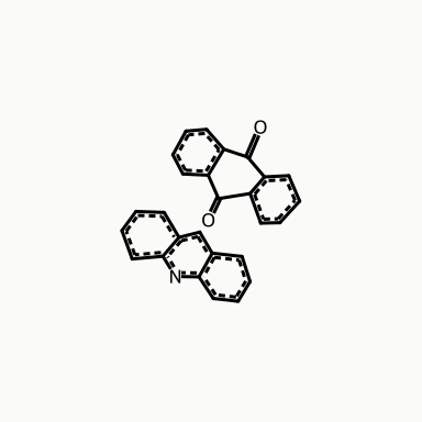 O=C1c2ccccc2C(=O)c2ccccc21.c1ccc2nc3ccccc3cc2c1